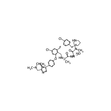 C[C@H](NCc1c(F)cc(Cl)cc1Oc1ccc(-c2cnc(CN(C)C)n2C)cc1)C(=O)N[C@@H](CO)C(=O)N(C)[C@@]1(Cc2ccc(Cl)cc2)CCCNC1